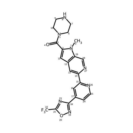 Cn1c(C(=O)N2CCNCC2)cc2cc(-c3cc(-c4noc(C(F)(F)F)n4)ccn3)ncc21